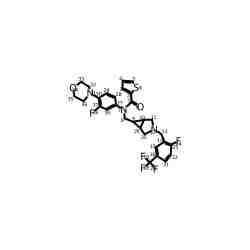 O=C(c1cccs1)N(CC1C2CN(Cc3cc(C(F)(F)F)ccc3F)CC21)c1ccc(N2CCOCC2)c(F)c1